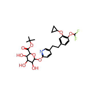 CC(C)(C)OC(=O)C1OC(Oc2ccc(CCc3ccc(OC(F)F)c(OC4CC4)c3)cn2)C(O)C(O)C1O